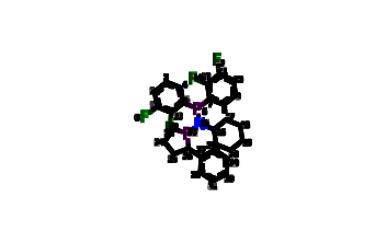 Fc1cccc(P(c2cccc(F)c2F)N(C2CCCCC2)P2CCCC2c2ccccc2)c1F